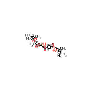 C=C(CC(=O)OC(C)(CC)CCC)C(=O)OCC(O)COC(=O)c1ccc(C(=O)OCC(O)CC(C)(CC)CCC)cc1